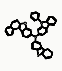 C1=Cc2sc3ccc(N(c4ccc5c(c4)oc4ccc6ccccc6c45)c4ccc5c6ccccc6n(-c6ccccc6)c5c4)cc3c2CC1